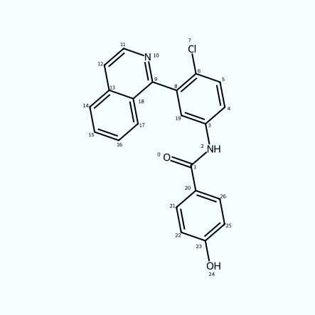 O=C(Nc1ccc(Cl)c(-c2nccc3ccccc23)c1)c1ccc(O)cc1